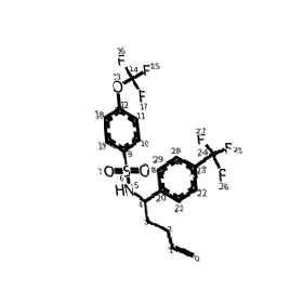 C=CCCC(NS(=O)(=O)c1ccc(OC(F)(F)F)cc1)c1ccc(C(F)(F)F)cc1